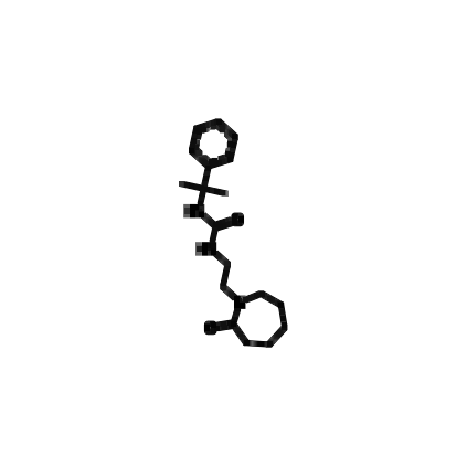 CC(C)(NC(=O)NCCN1CCCCCC1=O)c1ccccc1